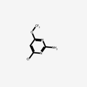 Nc1nc(Cl)cc(OC(F)(F)F)n1